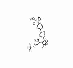 Cc1noc(-c2ccc(-c3ccc(C4(C(=O)O)CC4)cc3)cc2)c1C(O)CSCC(F)(F)F